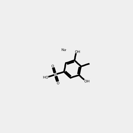 Cc1c(O)cc(S(=O)(=O)O)cc1O.[Na]